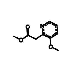 COC(=O)Cc1ncccc1OC